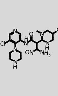 CN1CC(F)CNC1C(C(=O)Nc1cncc(Cl)c1N1CCNCC1)C(N)N=O